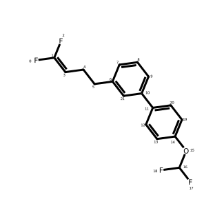 FC(F)=CCCc1cccc(-c2ccc(OC(F)F)cc2)c1